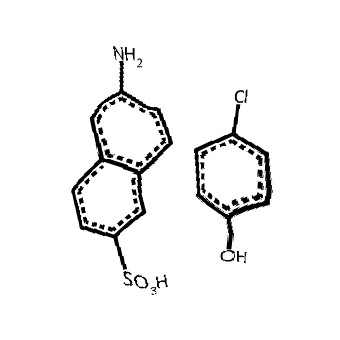 Nc1ccc2cc(S(=O)(=O)O)ccc2c1.Oc1ccc(Cl)cc1